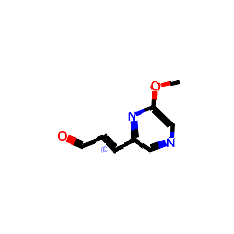 COc1cncc(/C=C/C=O)n1